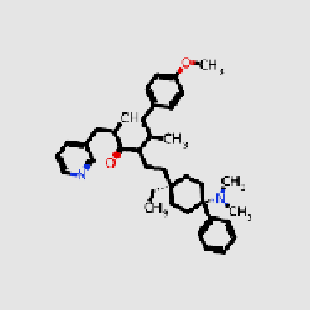 CC[C@]1(CCC(C(=O)C(C)Cc2cccnc2)C(C)Cc2ccc(OC)cc2)CC[C@](c2ccccc2)(N(C)C)CC1